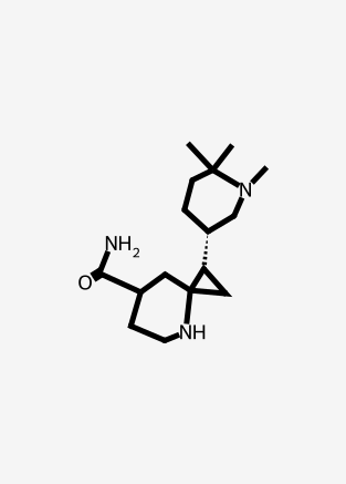 CN1C[C@H](C2CC23CC(C(N)=O)CCN3)CCC1(C)C